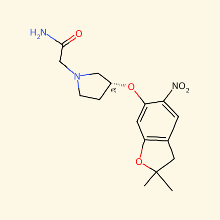 CC1(C)Cc2cc([N+](=O)[O-])c(O[C@@H]3CCN(CC(N)=O)C3)cc2O1